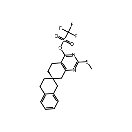 CSc1nc2c(c(OS(=O)(=O)C(F)(F)F)n1)CC[C@@]1(CCc3ccccc3C1)C2